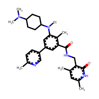 CCN(c1cc(-c2ccc(C)nc2)cc(C(=O)NCc2c(C)cc(C)[nH]c2=O)c1C)C1CCC(N(C)C)CC1